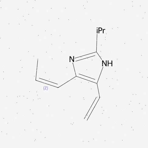 C=Cc1[nH]c(C(C)C)nc1/C=C\C